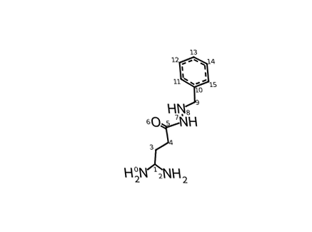 NC(N)CCC(=O)NNCc1ccccc1